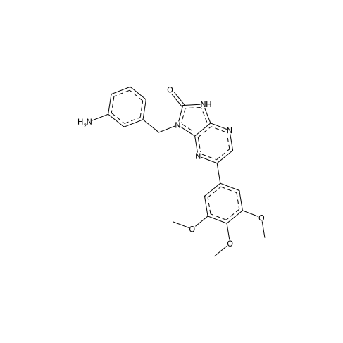 COc1cc(-c2cnc3[nH]c(=O)n(Cc4cccc(N)c4)c3n2)cc(OC)c1OC